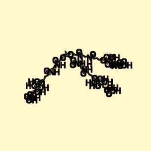 CC(CCCOC(=O)NCCCNC(=O)CCCCOC(O)C(O)C(O)C(O)CCOP(=O)(O)O)(COCCC(=O)NCCCNC(=O)CCCCOC(O)C(O)C(O)C(O)CCOP(=O)(O)O)COCCC(=O)NCCCNC(=O)CCCCOC(O)C(O)C(O)C(O)CCOP(=O)(O)O